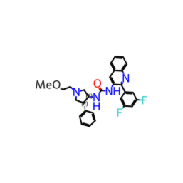 COCCN1C[C@@H](NC(=O)Nc2cc3ccccc3nc2-c2cc(F)cc(F)c2)[C@H](c2ccccc2)C1